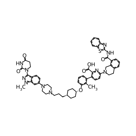 Cc1c(O[C@H]2CC[C@H](CCCN3CCN(c4ccc5c(N6CCC(=O)NC6=O)nn(C)c5c4)CC3)CC2)cccc1-c1ccc(N2CCc3cccc(C(=O)Nc4nc5ccccc5s4)c3C2)nc1C(=O)O